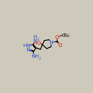 CC(C)(C)OC(=O)N1CCC(O)(Cc2c(N)n[nH]c2N)CC1